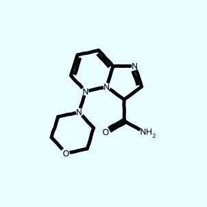 NC(=O)C1C=NC2=CC=CN(N3CCOCC3)N21